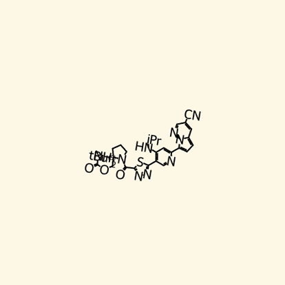 CC(C)Nc1cc(-c2ccc3cc(C#N)cnn23)ncc1-c1nnc(C(=O)N2CCC[C@@]2(COC(N)=O)C(C)(C)C)s1